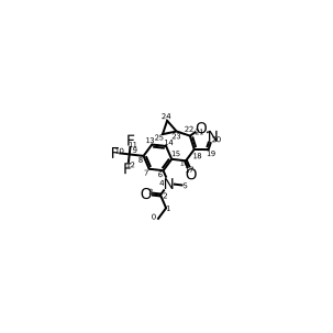 CCC(=O)N(C)c1cc(C(F)(F)F)ccc1C(=O)c1cnoc1C1CC1